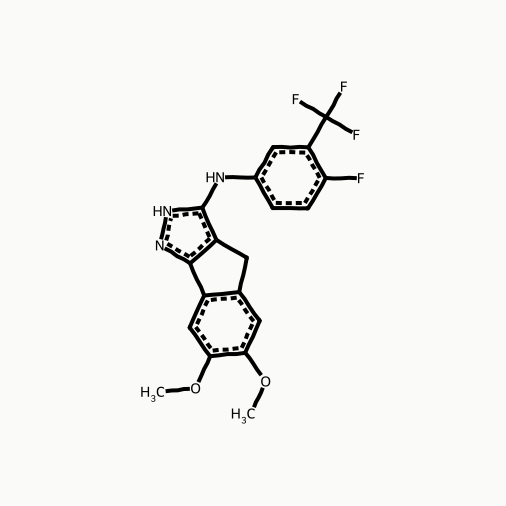 COc1cc2c(cc1OC)-c1n[nH]c(Nc3ccc(F)c(C(F)(F)F)c3)c1C2